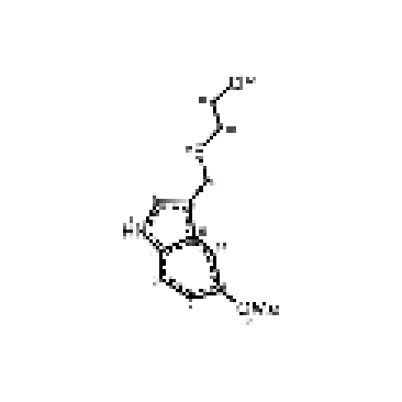 COc1ccc2[nH]cc(CSCCCl)c2c1